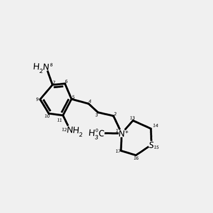 C[N+]1(CCCc2cc(N)ccc2N)CCSCC1